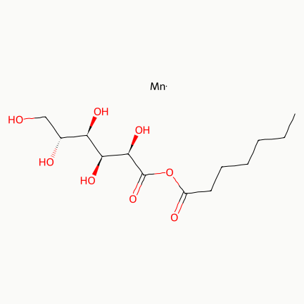 CCCCCCC(=O)OC(=O)[C@H](O)[C@@H](O)[C@H](O)[C@H](O)CO.[Mn]